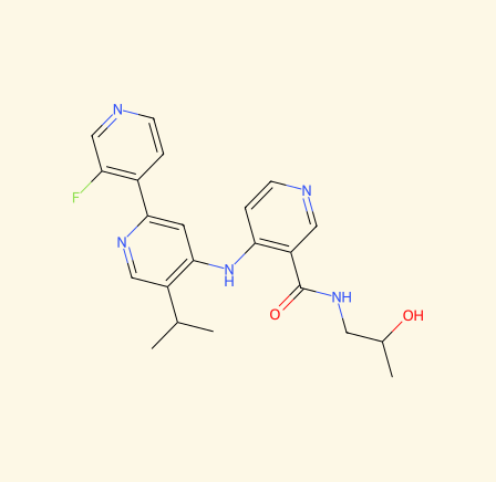 CC(O)CNC(=O)c1cnccc1Nc1cc(-c2ccncc2F)ncc1C(C)C